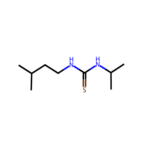 CC(C)CCNC(=S)NC(C)C